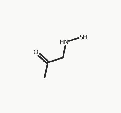 CC(=O)CNS